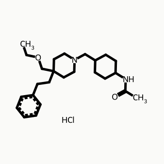 CCOCC1(CCc2ccccc2)CCN(CC2CCC(NC(C)=O)CC2)CC1.Cl